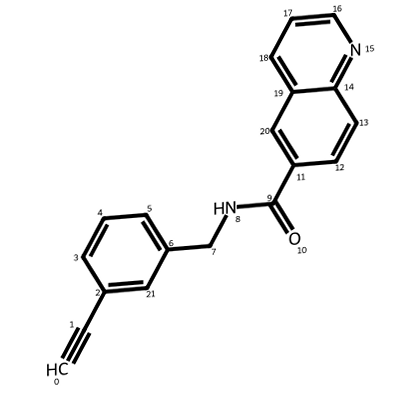 C#Cc1cccc(CNC(=O)c2ccc3ncccc3c2)c1